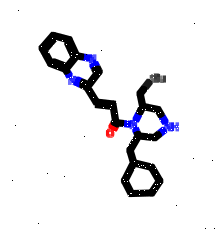 CC(C)(C)CC1CNCC(CC2CCCCC2)N1C(=O)/C=C/c1cnc2ccccc2n1